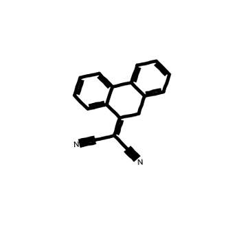 N#CC(C#N)=C1Cc2ccccc2-c2ccccc21